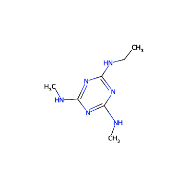 CCNc1nc(NC)nc(NC)n1